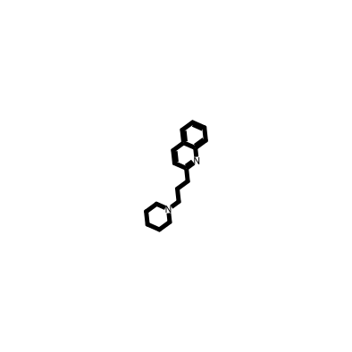 c1ccc2nc(CCCN3CCCCC3)ccc2c1